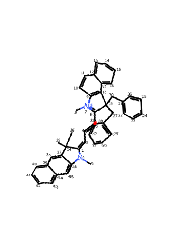 CN1/C(=C/C=C/C2=[N+](C)c3ccc4ccccc4c3C2(Cc2ccccc2)Cc2ccccc2)C(C)(C)c2cc3ccccc3cc21